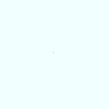 O=C(O)[P](=O)C(=O)O